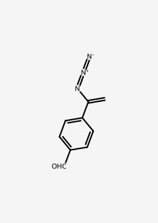 C=C(N=[N+]=[N-])c1ccc(C=O)cc1